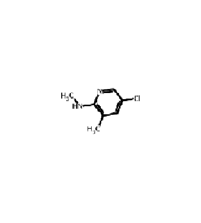 CNc1ncc(Cl)cc1C